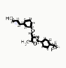 Cc1oc(-c2ccc(C(F)(F)F)cc2)nc1COc1cccc(/C=C/CO)c1